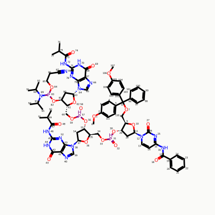 COc1ccc(C(OC[C@H]2O[C@@H](n3ccc(NC(=O)c4ccccc4)nc3=O)C[C@@H]2O[PH](=O)OC[C@H]2O[C@@H](n3cnc4c(=O)[nH]c(NC(=O)C(C)C)nc43)C[C@@H]2O[PH](=O)OC[C@H]2O[C@@H](n3cnc4c(=O)[nH]c(NC(=O)C(C)C)nc43)C[C@@H]2OP(OCCC#N)N(C(C)C)C(C)C)(c2ccccc2)c2ccc(OC)cc2)cc1